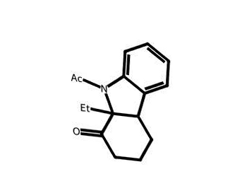 CCC12C(=O)CCCC1c1ccccc1N2C(C)=O